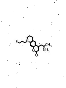 CC(N)Cc1cc(=O)oc2cc3c(cc12)CCCN3CCCF